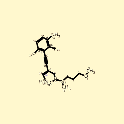 COCCCN(C)N(C)C/C(C#Cc1c(F)ccc(N)c1F)=C\N